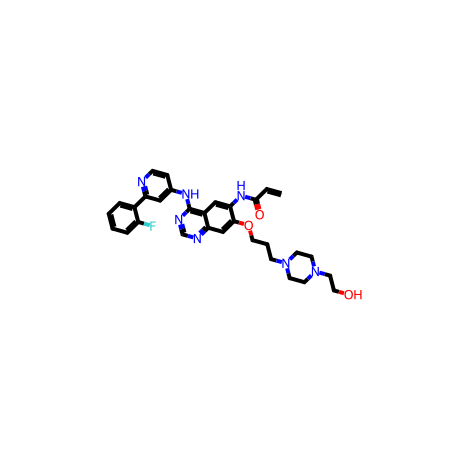 C=CC(=O)Nc1cc2c(Nc3ccnc(-c4ccccc4F)c3)ncnc2cc1OCCCN1CCN(CCO)CC1